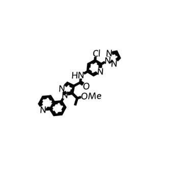 COC(C)c1c(C(=O)Nc2cnc(-n3nccn3)c(Cl)c2)cnn1-c1cccc2ncccc12